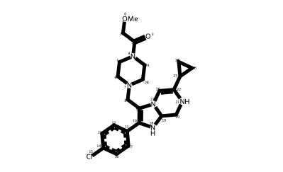 COCC(=O)N1CCN(CC2=C(c3ccc(Cl)cc3)NC3CNC(C4CC4)=CN23)CC1